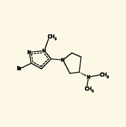 CN(C)[C@H]1CCN(c2cc(Br)nn2C)C1